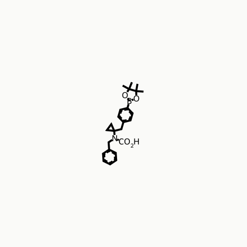 CC1(C)OB(c2ccc(CC3(N(Cc4ccccc4)C(=O)O)CC3)cc2)OC1(C)C